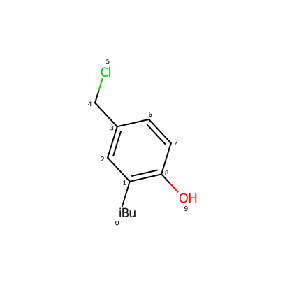 CCC(C)c1cc(CCl)ccc1O